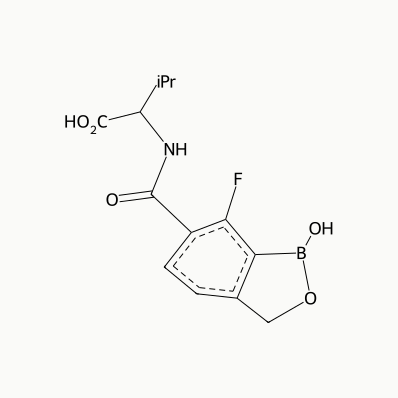 CC(C)C(NC(=O)c1ccc2c(c1F)B(O)OC2)C(=O)O